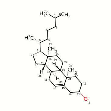 CC(C)CCC[C@@H](C)[C@H]1CC[C@H]2[C@@H]3CC=C4C[C@@H]([O])CC[C@]4(C)[C@H]3CC[C@]12C